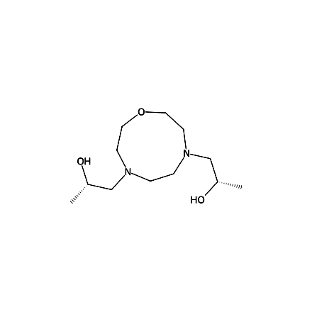 C[C@H](O)CN1CCOCCN(C[C@H](C)O)CC1